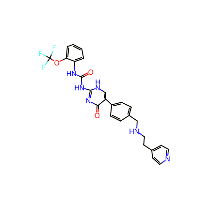 O=C(Nc1nc(=O)c(-c2ccc(CNCCc3ccncc3)cc2)c[nH]1)Nc1ccccc1OC(F)(F)F